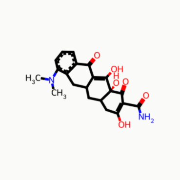 CN(C)c1cccc2c1CC1CC3CC(O)=C(C(N)=O)C(=O)[C@@]3(O)C(O)=C1C2=O